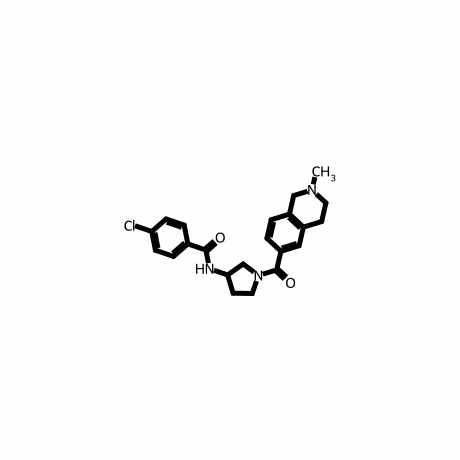 CN1CCc2cc(C(=O)N3CCC(NC(=O)c4ccc(Cl)cc4)C3)ccc2C1